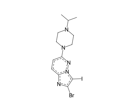 CC(C)N1CCN(c2ccc3nc(Br)c(I)n3n2)CC1